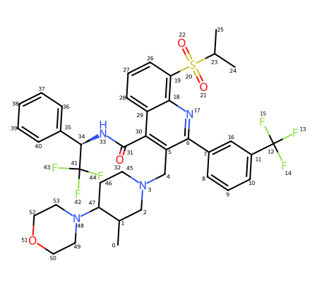 CC1CN(Cc2c(-c3cccc(C(F)(F)F)c3)nc3c(S(=O)(=O)C(C)C)cccc3c2C(=O)N[C@H](c2ccccc2)C(F)(F)F)CCC1N1CCOCC1